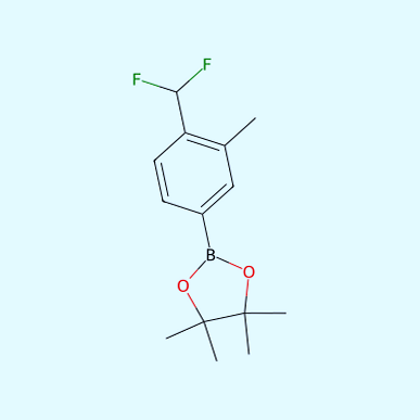 Cc1cc(B2OC(C)(C)C(C)(C)O2)ccc1C(F)F